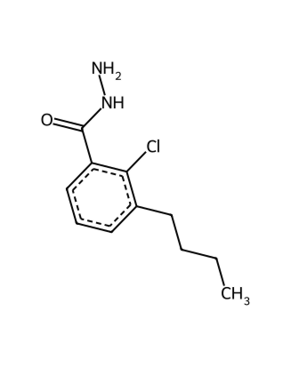 CCCCc1cccc(C(=O)NN)c1Cl